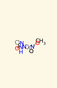 COCCN1CC2(CCN(c3nc4c(c(=O)[nH]3)CCCC4)CC2)c2ccccc21